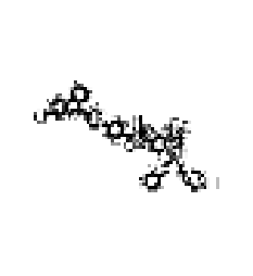 O=C(NS(=O)(=O)c1ccc(N[C@H](CCN2CCNCC2)CSc2ccccc2)c(S(=O)(=O)C(F)(F)F)c1)c1ccc(N2CCC([C@H](O)c3ccccc3-c3ccc(Cl)cc3)CC2)cc1